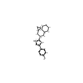 Fc1ccc(-c2c[nH]c(N(CC3CCCCC3)CC3CC3)n2)cc1